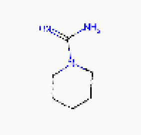 N=C(N)N1CC[CH]CC1